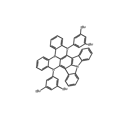 CC(C)(C)c1cc(N2c3ccccc3B3c4ccccc4N(c4cc(C(C)(C)C)cc(C(C)(C)C)c4)c4c3c2c2c3ccccc3n3c5ccccc5c4c23)cc(C(C)(C)C)c1